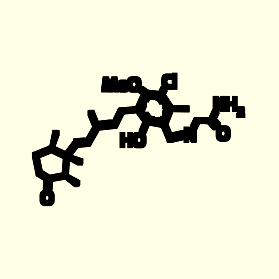 COc1c(Cl)c(C)c(/C=N\CC(N)=O)c(O)c1C/C=C(C)/C=C/[C@@]1(C)[C@H](C)CCC(=O)[C@@H]1C